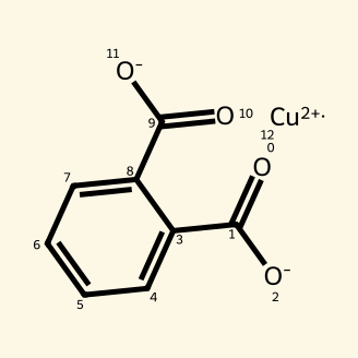 O=C([O-])c1ccccc1C(=O)[O-].[Cu+2]